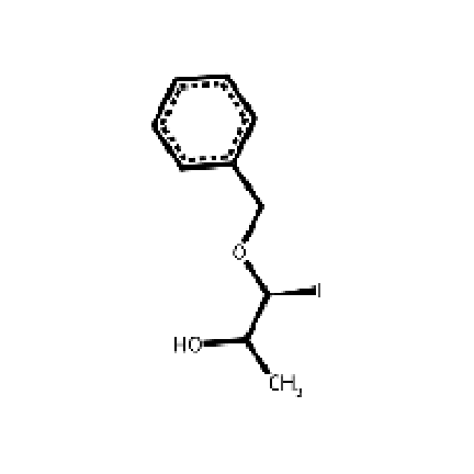 CC(O)[C@H](I)OCc1ccccc1